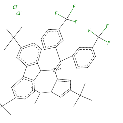 CC(C)C1C=C(C(C)(C)C)C=[C]1[Zr+2](=[C](c1cccc(C(F)(F)F)c1)c1cccc(C(F)(F)F)c1)[CH]1c2ccc(C(C)(C)C)cc2-c2cc(C(C)(C)C)ccc21.[Cl-].[Cl-]